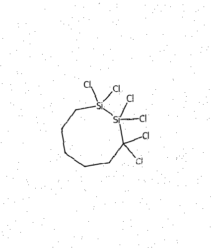 ClC1(Cl)CCCCC[Si](Cl)(Cl)[Si]1(Cl)Cl